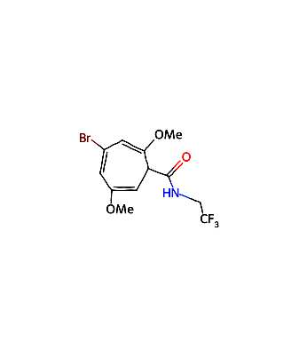 COC1=CC(C(=O)NCC(F)(F)F)C(OC)=CC(Br)=C1